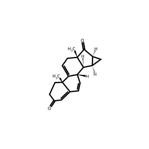 C[C@]12CCC(=O)C=C1C=C[C@@H]1C2=CC[C@]2(C)C(=O)[C@H]3C[C@H]3[C@@H]12